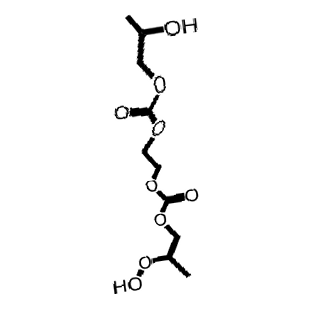 CC(O)COC(=O)OCCOC(=O)OCC(C)OO